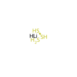 S.SS.[LiH]